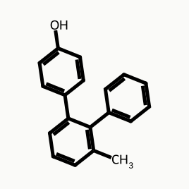 Cc1cccc(-c2ccc(O)cc2)c1-c1ccccc1